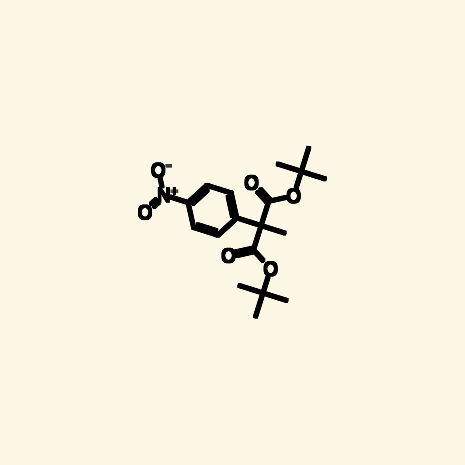 CC(C)(C)OC(=O)C(C)(C(=O)OC(C)(C)C)c1ccc([N+](=O)[O-])cc1